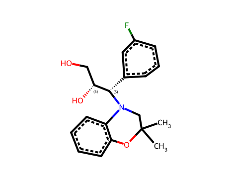 CC1(C)CN([C@@H](c2cccc(F)c2)[C@H](O)CO)c2ccccc2O1